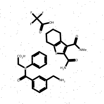 CNC(=O)c1c(C(N)=O)sc2c1CCCC2.NCc1cccc(C(=O)N(CC(=O)O)c2ccccc2)c1.O=C(O)C(F)(F)F